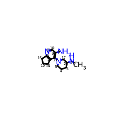 CNC1CCCN(c2c(N)cnc3c2CCC3)C1